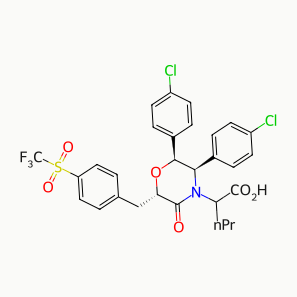 CCCC(C(=O)O)N1C(=O)[C@H](Cc2ccc(S(=O)(=O)C(F)(F)F)cc2)O[C@@H](c2ccc(Cl)cc2)[C@H]1c1ccc(Cl)cc1